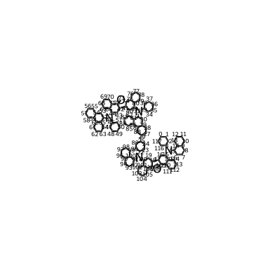 c1ccc(N(c2cccc3ccccc23)c2cc3c4cc(N(c5ccc(-c6ccc7cc(N(c8ccccc8)c8cc9c%10cc(N(c%11ccccc%11)c%11cc%12ccccc%12c%12ccccc%11%12)c%11ccccc%11c%10oc9c9ccccc89)c8ccccc8c7c6)cc5)c5cccc6ccccc56)c5ccccc5c4oc3c3ccccc23)cc1